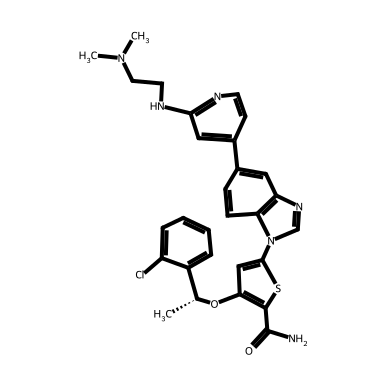 C[C@@H](Oc1cc(-n2cnc3cc(-c4ccnc(NCCN(C)C)c4)ccc32)sc1C(N)=O)c1ccccc1Cl